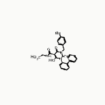 CC(C)(C)c1ccc(CN2C(=O)C(C(=O)NCC(=O)O)=C(O)N(c3ccccc3-c3ccccc3)C2O)cc1